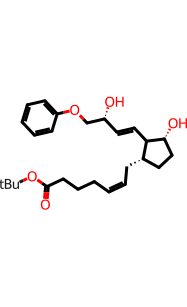 CC(C)(C)OC(=O)CCC/C=C\C[C@H]1CC[C@@H](O)C1/C=C/[C@@H](O)COc1ccccc1